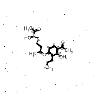 CCCc1c(OC(C)CCSN(O)C(C)=O)ccc(C(C)=O)c1O